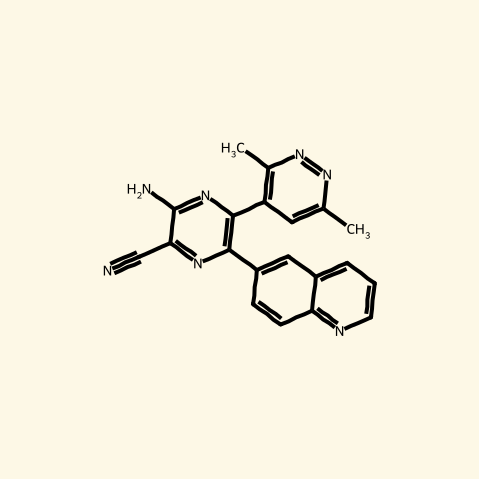 Cc1cc(-c2nc(N)c(C#N)nc2-c2ccc3ncccc3c2)c(C)nn1